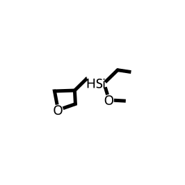 CC[SiH](CC1COC1)OC